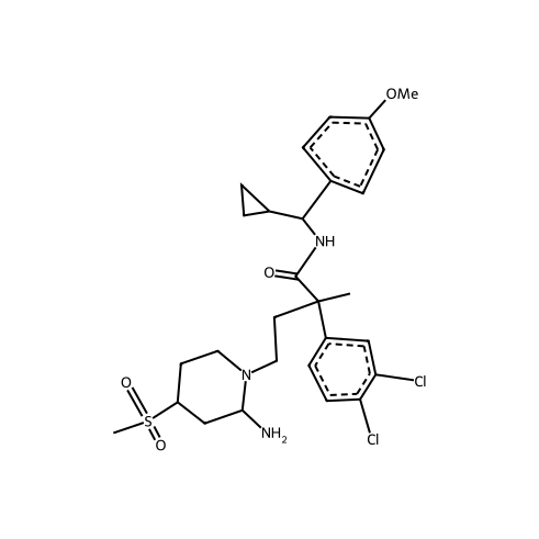 COc1ccc(C(NC(=O)C(C)(CCN2CCC(S(C)(=O)=O)CC2N)c2ccc(Cl)c(Cl)c2)C2CC2)cc1